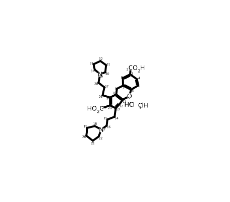 Cl.Cl.O=C(O)c1ccc2c(c1)Cc1c(cc(CCCN3CCCCC3)c(C(=O)O)c1CCCN1CCCCC1)O2